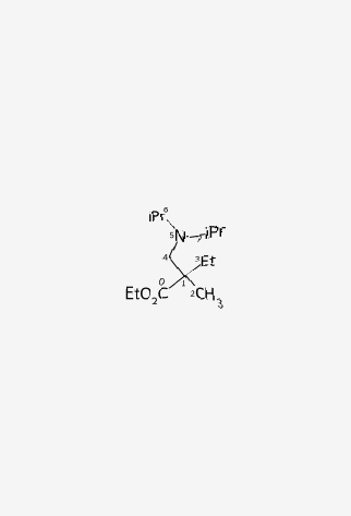 CCOC(=O)C(C)(CC)CN(C(C)C)C(C)C